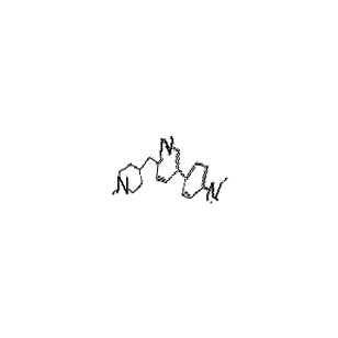 CN1CCC(Cc2ccc(-c3ccc(N(C)C)cc3)cn2)CC1